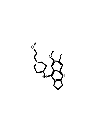 COCCN1CCC(Nc2c3c(nc4cc(Cl)c(OC)cc24)CCC3)CC1